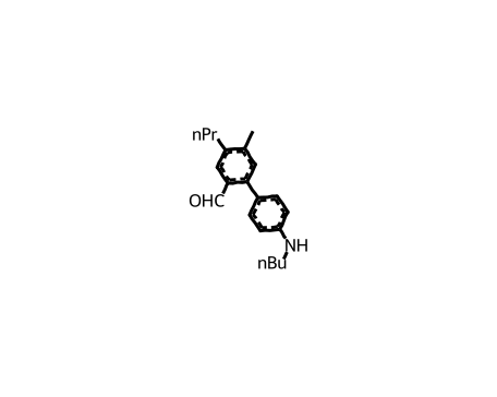 CCCCNc1ccc(-c2cc(C)c(CCC)cc2C=O)cc1